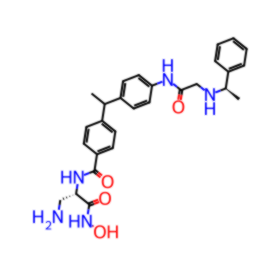 CC(c1ccc(NC(=O)CN[C@H](C)c2ccccc2)cc1)c1ccc(C(=O)N[C@@H](CN)C(=O)NO)cc1